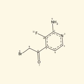 Nc1nccc(C(=O)CBr)c1F